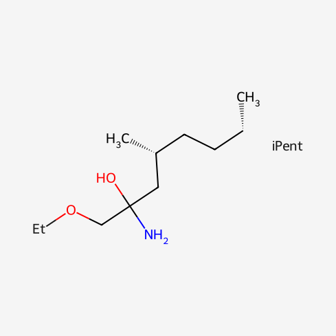 CCC[C@H](C)[C@@H](C)CC[C@@H](C)CC(N)(O)COCC